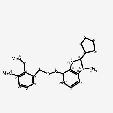 CNCc1c(COSC2NC=CC3=C2NC(C2CCCC2)N3C)cccc1NC